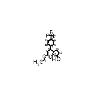 CCOC(=O)CC(c1ccc(C(F)(F)F)cc1)C1CCC(=O)N1